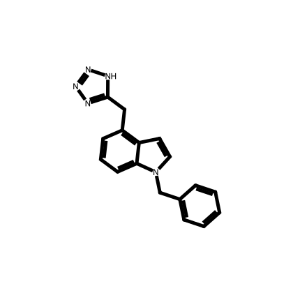 c1ccc(Cn2ccc3c(Cc4nnn[nH]4)cccc32)cc1